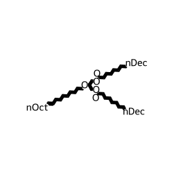 CCCCCCCCC=CCCCCCCCCOC(COC(=O)CCCCCCCCCCCCCCCCC)COC(=O)CCCCCCCCCCCCCCCCC